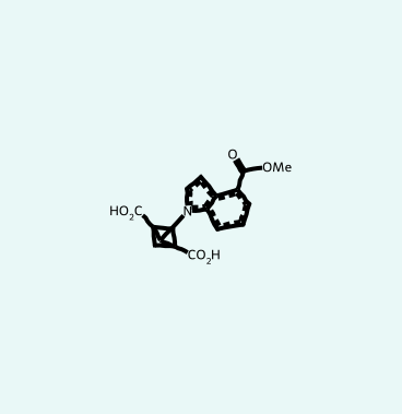 COC(=O)c1cccc2c1ccn2C1C2(C(=O)O)CC1(C(=O)O)C2